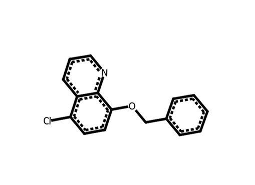 Clc1ccc(OCc2ccccc2)c2ncccc12